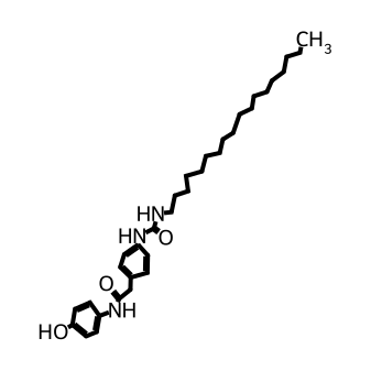 CCCCCCCCCCCCCCCCCCNC(=O)Nc1ccc(CC(=O)Nc2ccc(O)cc2)cc1